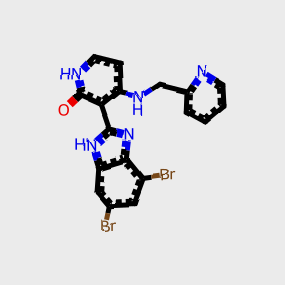 O=c1[nH]ccc(NCc2ccccn2)c1-c1nc2c(Br)cc(Br)cc2[nH]1